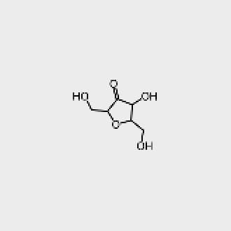 O=C1C(CO)OC(CO)C1O